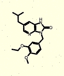 CCOc1cc(Cn2c(=O)[nH]c3cc(CC(C)C)cnc32)ccc1OC